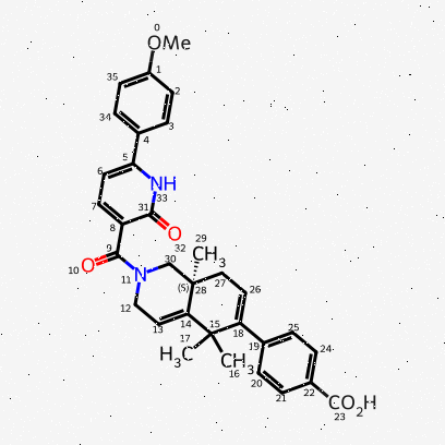 COc1ccc(-c2ccc(C(=O)N3CC=C4C(C)(C)C(c5ccc(C(=O)O)cc5)=CC[C@]4(C)C3)c(=O)[nH]2)cc1